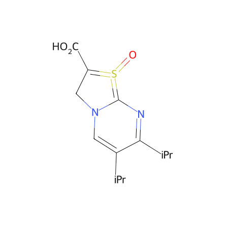 CC(C)C1=CN2CC(C(=O)O)=S(=O)=C2N=C1C(C)C